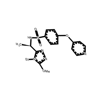 CCn1c(OC)nnc1[C@@H](C)NS(=O)(=O)c1ccc(Oc2ccncc2)cc1